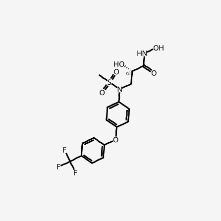 CS(=O)(=O)N(C[C@H](O)C(=O)NO)c1ccc(Oc2ccc(C(F)(F)F)cc2)cc1